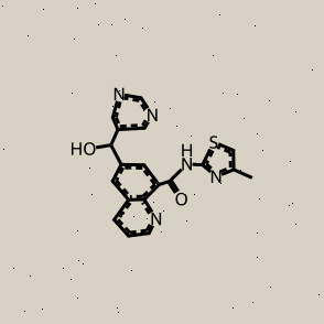 Cc1csc(NC(=O)c2cc(C(O)c3cncnc3)cc3cccnc23)n1